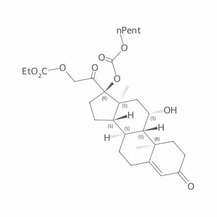 CCCCCOC(=O)O[C@]1(C(=O)COC(=O)OCC)CC[C@H]2[C@@H]3CCC4=CC(=O)CC[C@]4(C)[C@H]3[C@@H](O)C[C@@]21C